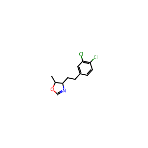 CC1O[C]=NC1CCc1ccc(Cl)c(Cl)c1